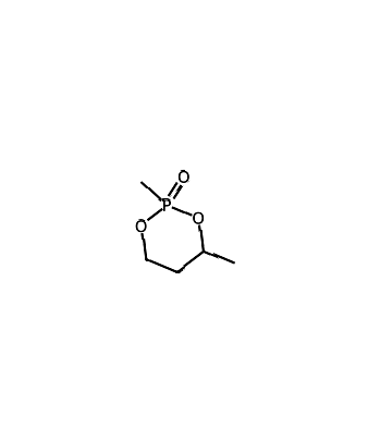 CC1CCOP(C)(=O)O1